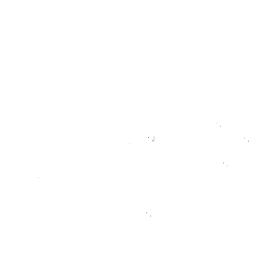 CN(c1cc(/C=C/C2CC2)cc(C(=O)NC(Cc2ccccc2)C(O)C(=O)Nc2ncc[nH]2)c1)S(C)(=O)=O